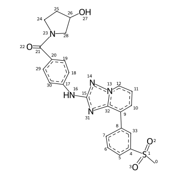 CS(=O)(=O)c1cccc(-c2cccn3nc(Nc4ccc(C(=O)N5CCC(O)C5)cc4)nc23)c1